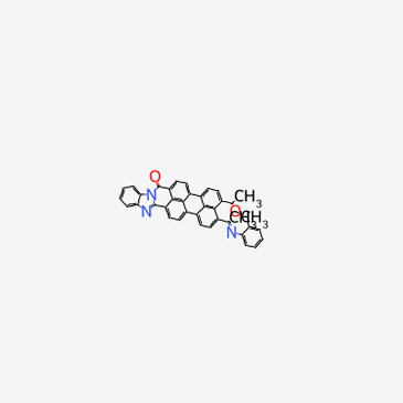 CC(=O)c1ccc2c3ccc4c(=O)n5c6ccccc6nc5c5ccc(c6ccc(/C(C)=N/c7ccccc7C)c1c26)c3c45